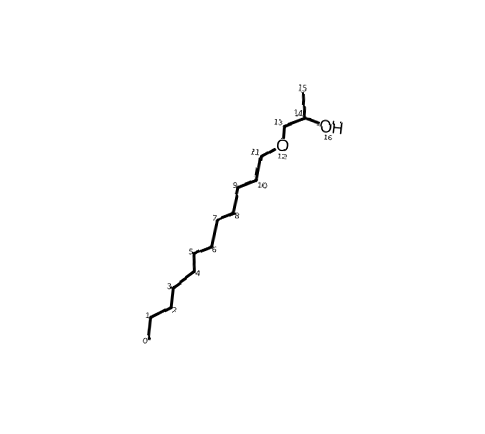 CCCCCCCCCCCCOC[C](C)O